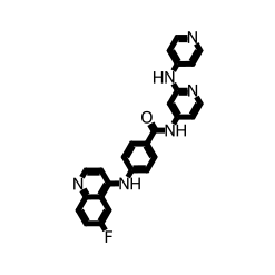 O=C(Nc1ccnc(Nc2ccncc2)c1)c1ccc(Nc2ccnc3ccc(F)cc23)cc1